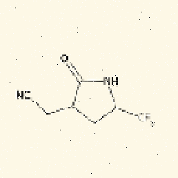 N#CCC1CC(C(F)(F)F)NC1=O